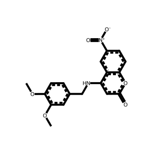 COc1ccc(CNc2cc(=O)oc3ccc([N+](=O)[O-])cc23)cc1OC